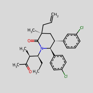 C=CC[C@@]1(C)C[C@H](c2cccc(Cl)c2)[C@@H](c2ccc(Cl)cc2)N([C@@H](CC)[C@H](C)C(C)=O)C1=O